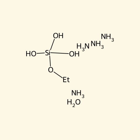 CCO[Si](O)(O)O.N.N.N.N.O